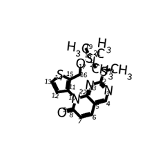 CSc1ncc2ccc(=O)n(-c3ccsc3CO[Si](C)(C)C)c2n1